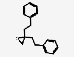 c1ccc(CCC2(CCc3ccccc3)CO2)cc1